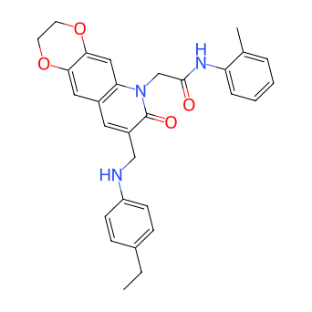 CCc1ccc(NCc2cc3cc4c(cc3n(CC(=O)Nc3ccccc3C)c2=O)OCCO4)cc1